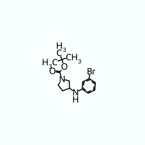 CC(C)(C)OC(=O)N1CCC(Nc2cccc(Br)c2)C1